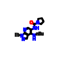 CCCCNc1c(NC(=O)N2CCCC2)cnc2c1cnn2CC